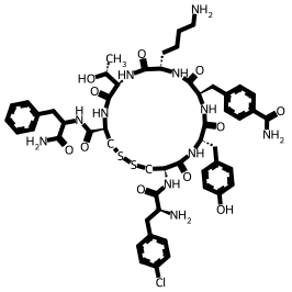 C[C@@H](O)[C@@H]1NC(=O)[C@H](CCCCN)NC(=O)[C@@H](Cc2ccc(C(N)=O)cc2)NC(=O)[C@H](Cc2ccc(O)cc2)NC(=O)[C@H](NC(=O)[C@@H](N)Cc2ccc(Cl)cc2)CSSC[C@@H](C(=O)NC(Cc2ccccc2)C(N)=O)NC1=O